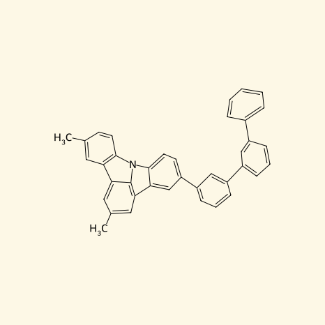 Cc1ccc2c(c1)c1cc(C)cc3c4cc(-c5cccc(-c6cccc(-c7ccccc7)c6)c5)ccc4n2c13